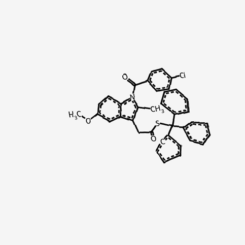 COc1ccc2c(c1)c(CC(=O)SC(c1ccccc1)(c1ccccc1)c1ccccc1)c(C)n2C(=O)c1ccc(Cl)cc1